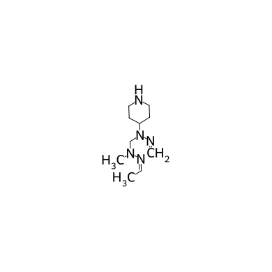 C=NN(CN(C)/N=C\C)C1CCNCC1